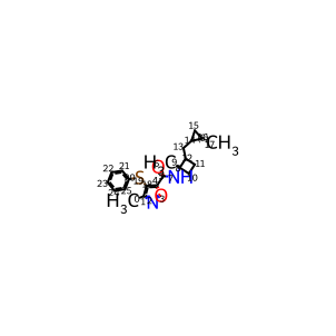 Cc1noc(C(=O)NC2(C)CCC2CC2C[C@@H]2C)c1Sc1ccccc1